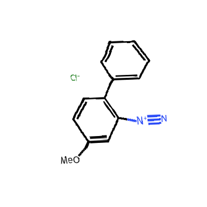 COc1ccc(-c2ccccc2)c([N+]#N)c1.[Cl-]